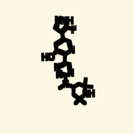 CN(c1ncc(-c2ncc(-c3cn[nH]c3F)cc2O)nn1)C1CC(C)(C)NC(C)(C)C1